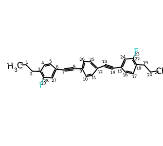 CCCc1ccc(C#Cc2ccc(C#Cc3ccc(CCC)c(F)c3)cc2)cc1F